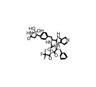 O=C1CC(c2ccc(CC(NC(=O)N[C@H](Cc3ccccc3)C(=O)OC(=O)C(F)(F)F)c3nc4ccncc4[nH]3)cc2)S(O)(O)N1